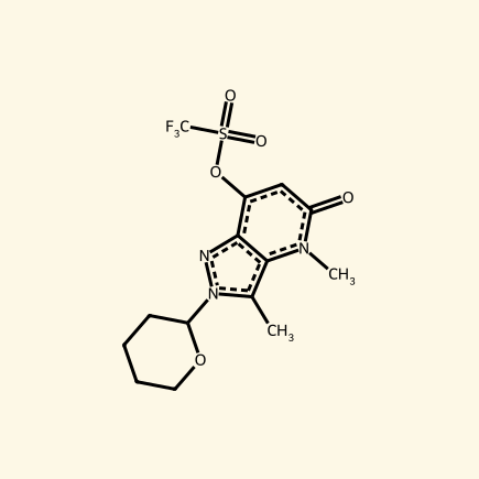 Cc1c2c(nn1C1CCCCO1)c(OS(=O)(=O)C(F)(F)F)cc(=O)n2C